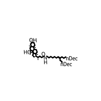 CCCCCCCCCCCCC/C(=C/CCCCCCNC(=O)CC[C@@H](C)[C@H]1CCC2[C@H]3C(CC[C@@]21C)[C@@]1(C)CC[C@@H](O)C[C@@]1(C)C[C@H]3O)CCCCCCCCCCCC